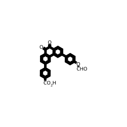 O=COc1ccc(-c2ccc3c(c2)-c2cc(-c4ccc(C(=O)O)cc4)ccc2C(=O)C3=O)cc1